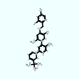 CC1=CC(OCc2ncc(Cl)cc2F)=C(Cl)CN1c1cc(N2C=CC=C(C(C)(C)O)C2)ncc1C